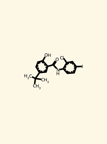 CC(C)(C)c1ccc(O)c(C(=O)Nc2ccc(I)cc2Cl)c1